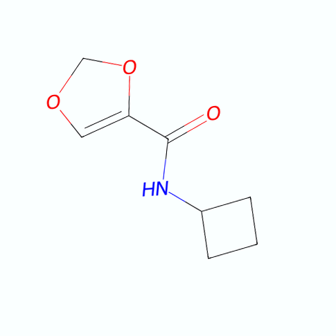 O=C(NC1CCC1)C1=COCO1